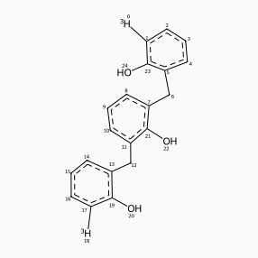 [3H]c1cccc(Cc2cccc(Cc3cccc([3H])c3O)c2O)c1O